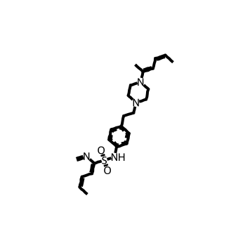 C=N/C(=C\C=C/C)S(=O)(=O)Nc1ccc(CCN2CCN(/C(C)=C/C=C\C)CC2)cc1